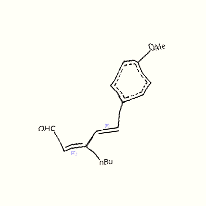 CCCCC(=C/C=O)/C=C/c1ccc(OC)cc1